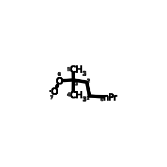 CCCCCC(C)(C)O[O]